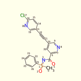 CS(=O)(=NC(=O)c1cncc(C#Cc2ccc(Cl)nc2)c1)c1ccccc1